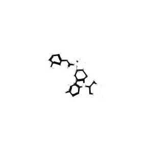 CCC(C(=O)O)n1c2c(c3cc(F)ccc31)C[C@@H](N(C)C(=O)Cc1cccc(Cl)c1)CC2